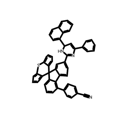 N#Cc1ccc(-c2cccc3c2-c2ccc(C4=NC(c5ccccc5)=CC(c5cccc6ccccc56)N4)cc2C32c3ccccc3Sc3ccccc32)cc1